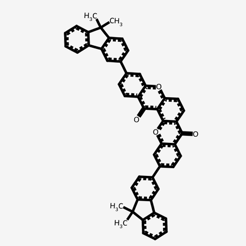 CC1(C)c2ccccc2-c2cc(-c3ccc4c(=O)c5ccc6oc7cc(-c8ccc9c(c8)-c8ccccc8C9(C)C)ccc7c(=O)c6c5oc4c3)ccc21